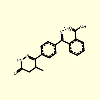 CC1CC(=O)NN=C1c1ccc(/C(=N/N)c2ccccc2C(=O)O)cc1